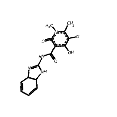 Cc1c(Cl)c(O)c(C(=O)NC2=NC3C=CC=CC3N2)c(=O)n1C